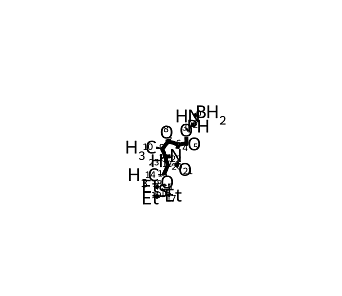 BNPOC(=O)C1C(=O)[C@H](C)[C@@H]2[C@@H]([C@@H](C)O[Si](CC)(CC)CC)C(=O)N12